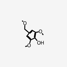 COCc1cc(OC)c(O)c(OC)c1